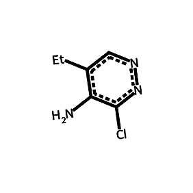 CCc1cnnc(Cl)c1N